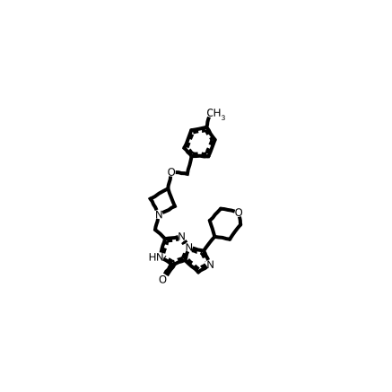 Cc1ccc(COC2CN(Cc3nn4c(C5CCOCC5)ncc4c(=O)[nH]3)C2)cc1